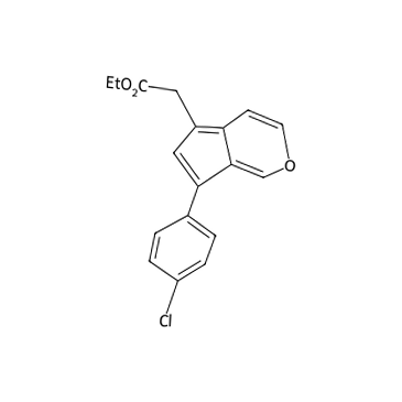 CCOC(=O)Cc1cc(-c2ccc(Cl)cc2)c2coccc1-2